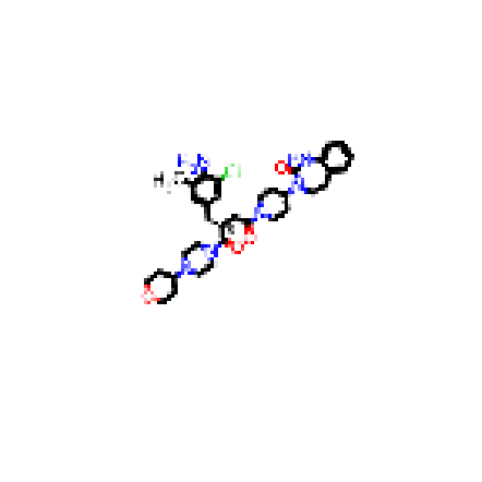 Cc1cc(C[C@@H](CC(=O)N2CCC(N3CCc4ccccc4NC3=O)CC2)C(=O)N2CCN(C3CCOCC3)CC2)cc(Cl)c1N